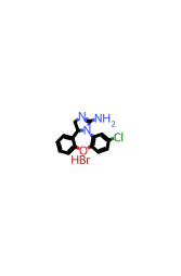 Br.NC1=NCC2c3ccccc3Oc3ccc(Cl)cc3N12